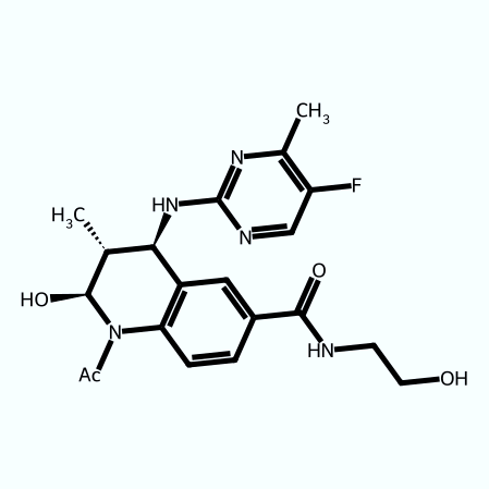 CC(=O)N1c2ccc(C(=O)NCCO)cc2[C@H](Nc2ncc(F)c(C)n2)[C@@H](C)[C@@H]1O